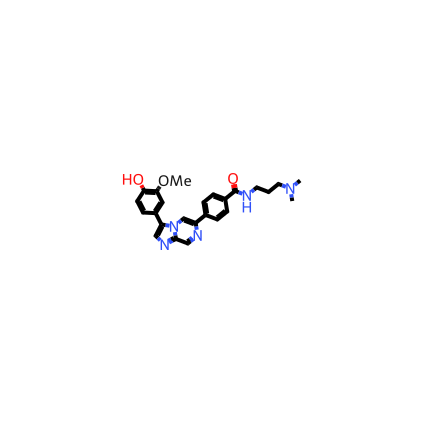 COc1cc(-c2cnc3cnc(-c4ccc(C(=O)NCCCN(C)C)cc4)cn23)ccc1O